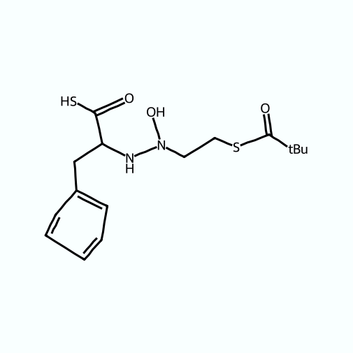 CC(C)(C)C(=O)SCCN(O)NC(Cc1ccccc1)C(=O)S